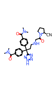 CN(C)C(=O)c1ccc(C(CCNCC(=O)N2CCCC2C#N)(c2ccc(C(=O)N(C)C)cc2)c2nn[nH]n2)cc1